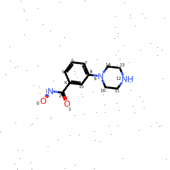 O=NC(=O)c1cccc(N2CCNCC2)c1